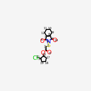 O=C(CSN1C(=O)C2=C(CCCC2)C1=O)OC1CCCC1Cl